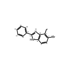 Cc1c(Br)ccc2[nH]c(-c3ccccc3)nc12